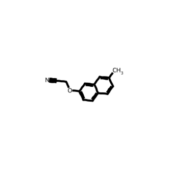 Cc1ccc2ccc(OCC#N)cc2c1